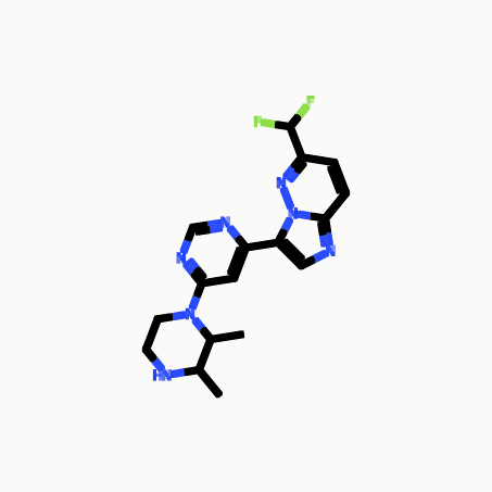 CC1NCCN(c2cc(-c3cnc4ccc(C(F)F)nn34)ncn2)C1C